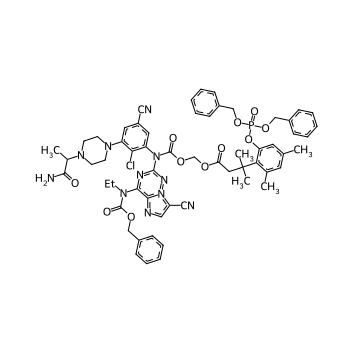 CCN(C(=O)OCc1ccccc1)c1nc(N(C(=O)OCOC(=O)CC(C)(C)c2c(C)cc(C)cc2OP(=O)(OCc2ccccc2)OCc2ccccc2)c2cc(C#N)cc(N3CCN(C(C)C(N)=O)CC3)c2Cl)nn2c(C#N)cnc12